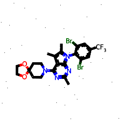 Cc1nc(N2CCC3(CC2)OCCO3)c2c(C)c(C)n(-c3c(Br)cc(C(F)(F)F)cc3Br)c2n1